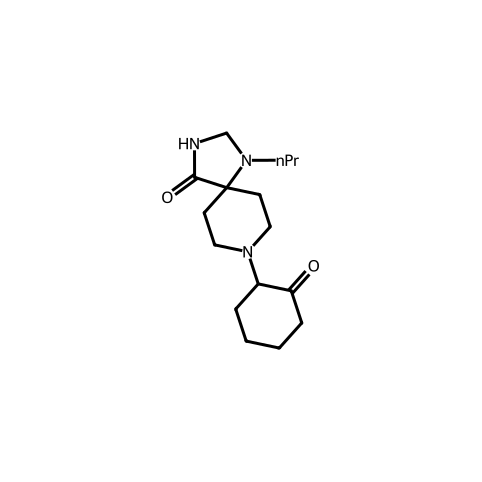 CCCN1CNC(=O)C12CCN(C1CCCCC1=O)CC2